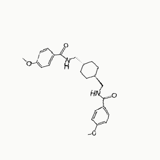 COc1ccc(C(=O)NC[C@H]2CC[C@H](CNC(=O)c3ccc(OC)cc3)CC2)cc1